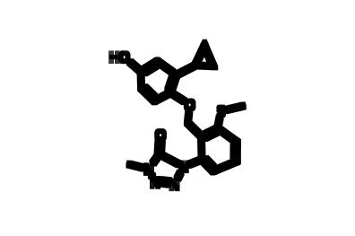 CSc1cccc(-n2nnn(C)c2=O)c1COc1ccc(O)cc1C1CC1